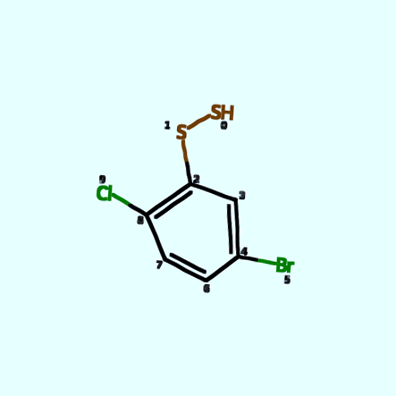 SSc1cc(Br)ccc1Cl